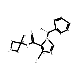 C[C@H](c1ccccc1)n1cnc(F)c1C(=O)OC1(C)CSC1